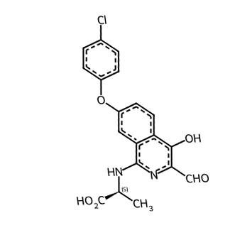 C[C@H](Nc1nc(C=O)c(O)c2ccc(Oc3ccc(Cl)cc3)cc12)C(=O)O